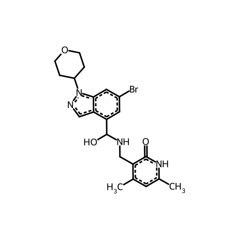 Cc1cc(C)c(CNC(O)c2cc(Br)cc3c2cnn3C2CCOCC2)c(=O)[nH]1